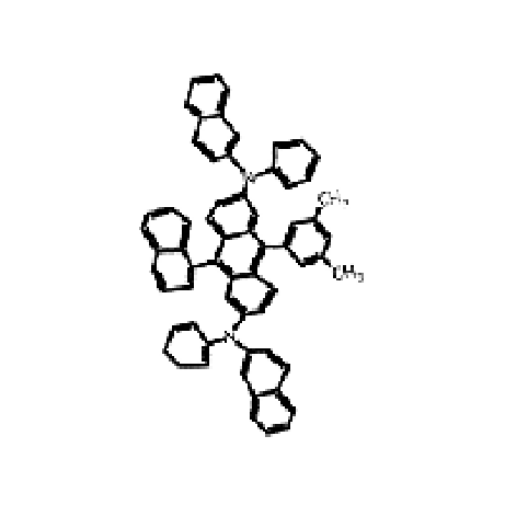 Cc1cc(C)cc(-c2c3cc(N(c4ccccc4)c4ccc5ccccc5c4)ccc3c(-c3cccc4ccccc34)c3cc(N(C4=CCCC=C4)c4ccc5ccccc5c4)ccc23)c1